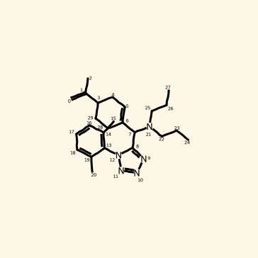 C=C(C)C1CC=C(C(c2nnnn2-c2c(C)cccc2C)N(CCC)CCC)CC1